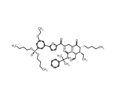 CCCCC[C@@H](C(=O)NCNC(=O)c1ccc(-c2cc(OCC)cc(P(=O)(OCCCC)OCCCC)c2)o1)[C@@H](CC)N(C=O)OC(=O)NC(C)(C)c1ccccc1